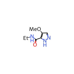 CCNC(=O)c1[nH]ncc1OC